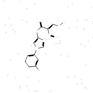 C=N/C(=C\SCCC)C(=C)Nc1cn(C2=CCCC(C(F)(F)F)=C2)cn1